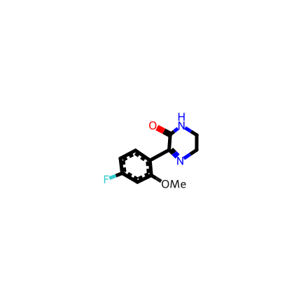 COc1cc(F)ccc1C1=NCCNC1=O